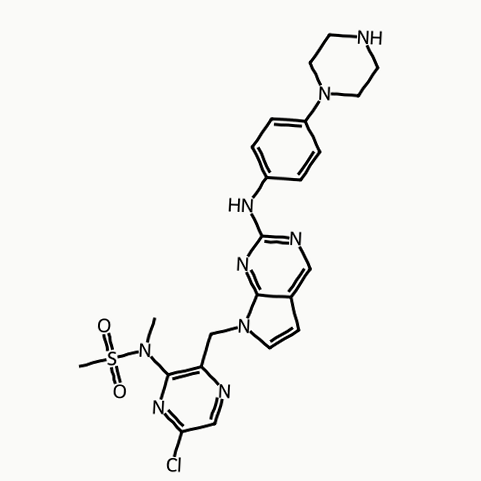 CN(c1nc(Cl)cnc1Cn1ccc2cnc(Nc3ccc(N4CCNCC4)cc3)nc21)S(C)(=O)=O